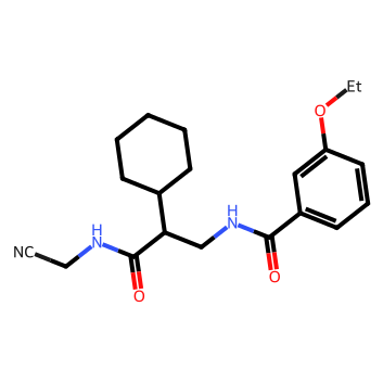 CCOc1cccc(C(=O)NCC(C(=O)NCC#N)C2CCCCC2)c1